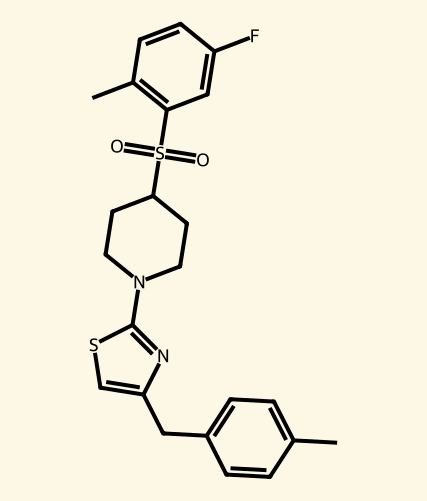 Cc1ccc(Cc2csc(N3CCC(S(=O)(=O)c4cc(F)ccc4C)CC3)n2)cc1